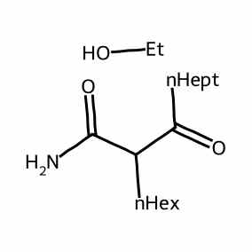 CCCCCCCC(=O)C(CCCCCC)C(N)=O.CCO